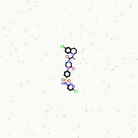 C[C@@H](C(=O)N1CCN(c2ccc(S(=O)(=O)Nc3ccc(Cl)nn3)cc2)C(=O)C1)N1CCCc2cc(Cl)ccc21